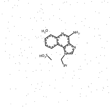 CC(C)Cn1cnc2c(N)nc3ccccc3c21.CS(=O)(=O)O.O